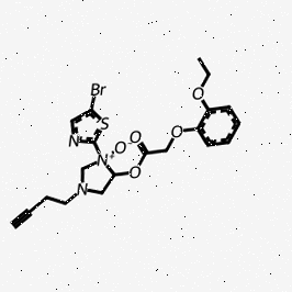 C#CCCN1CC(OC(=O)COc2ccccc2OCC)[N+]([O-])(c2ncc(Br)s2)C1